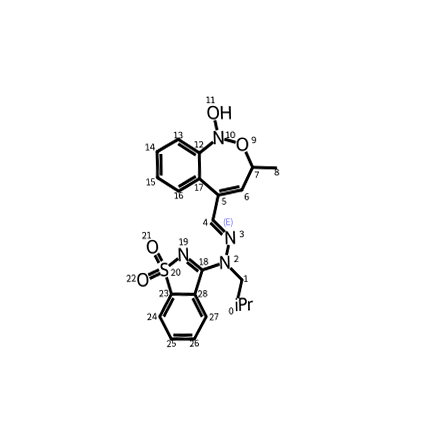 CC(C)CN(/N=C/C1=CC(C)ON(O)c2ccccc21)C1=NS(=O)(=O)c2ccccc21